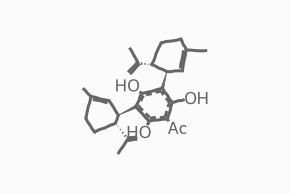 C=C(C)[C@@H]1CCC(C)=C[C@H]1c1c(O)c(C(C)=O)c(O)c([C@@H]2C=C(C)CC[C@H]2C(=C)C)c1O